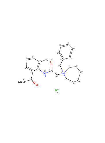 COC(=O)c1cccc(C)c1NC(=O)C[N+]1(Cc2ccccc2)CCCCCC1.[Br-]